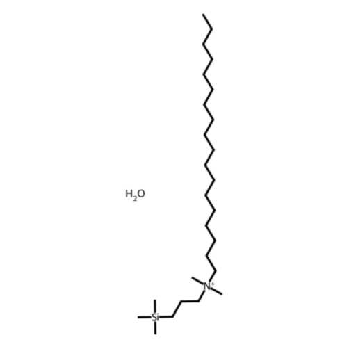 CCCCCCCCCCCCCCCCCC[N+](C)(C)CCC[Si](C)(C)C.O